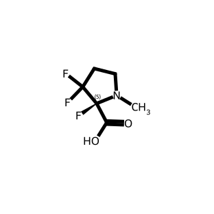 CN1CCC(F)(F)[C@@]1(F)C(=O)O